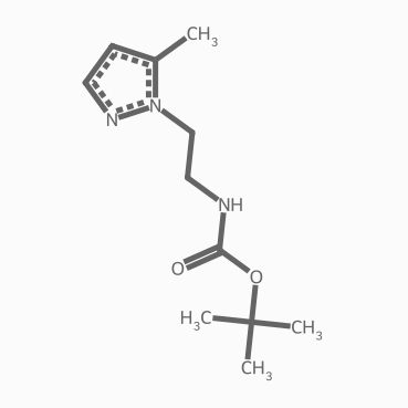 Cc1ccnn1CCNC(=O)OC(C)(C)C